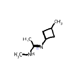 CN/C(C)=N/C1CC(C)C1